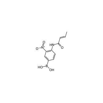 CC=CC(=O)Nc1ccc(B(O)O)cc1[N+](=O)[O-]